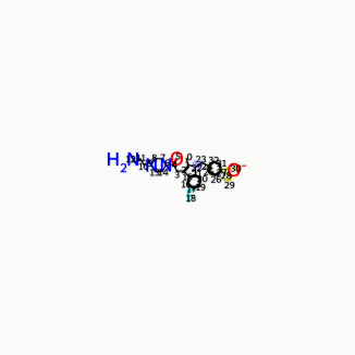 CC1=C(CC(=O)N2CCN(CCN)CC2)c2cc(F)ccc2/C1=C\c1ccc([S+](C)[O-])cc1